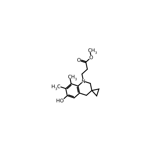 COC(=O)CCN1CC2(CC2)Cc2cc(O)c(C)c(C)c21